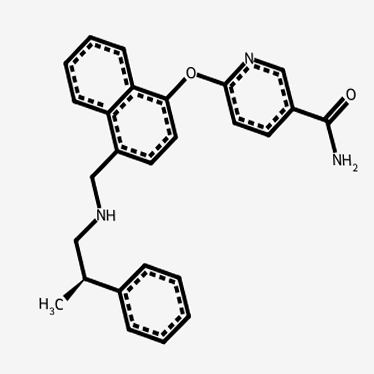 C[C@@H](CNCc1ccc(Oc2ccc(C(N)=O)cn2)c2ccccc12)c1ccccc1